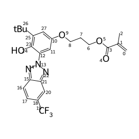 C=C(C)C(=O)OCCCOc1cc(-n2nc3ccc(C(F)(F)F)cc3n2)c(O)c(C(C)(C)C)c1